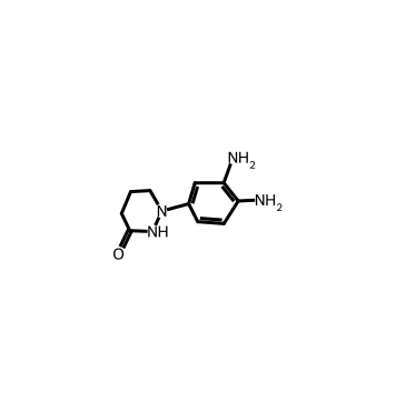 Nc1ccc(N2CCCC(=O)N2)cc1N